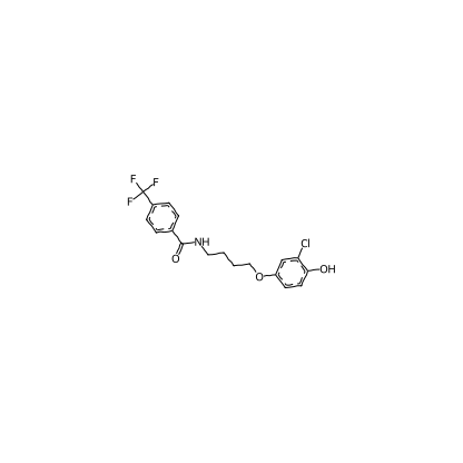 O=C(NCCCCOc1ccc(O)c(Cl)c1)c1ccc(C(F)(F)F)cc1